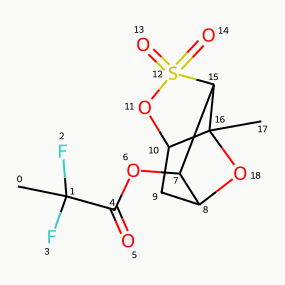 CC(F)(F)C(=O)OC1C2CC3OS(=O)(=O)C1C3(C)O2